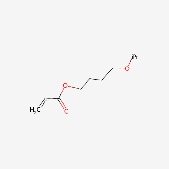 C=CC(=O)OCCCCOC(C)C